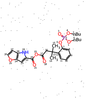 CCCCOP(=O)(OCCCC)Oc1ccccc1C(C)(C)CC(=O)OC(=O)c1cc2occc2[nH]1